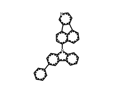 c1ccc(-c2ccc3c(c2)c2ccccc2n3-c2ccc3c4c(cccc24)-c2ccncc2-3)cc1